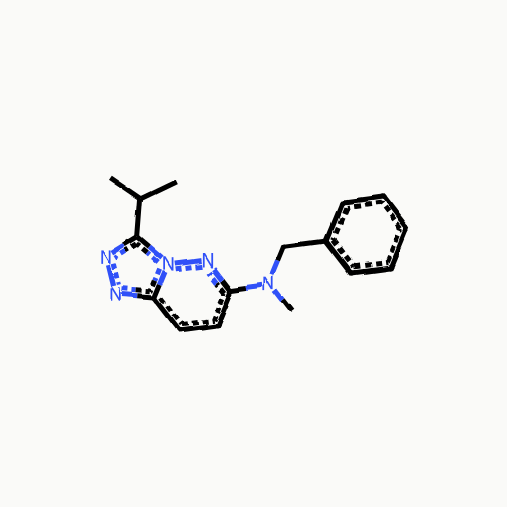 CC(C)c1nnc2ccc(N(C)Cc3ccccc3)nn12